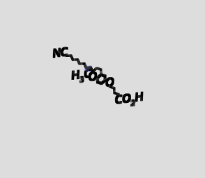 CC1(/C=C/CCCCCCC#N)CCc2cc(OCCCCC(=O)O)ccc2O1